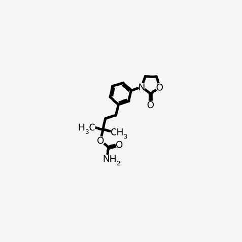 CC(C)(CCc1cccc(N2CCOC2=O)c1)OC(N)=O